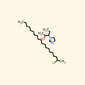 CCC(C(C)O)N1C=NCC1.CCCCCCCCCCCCCCCCCCC(C)Cl